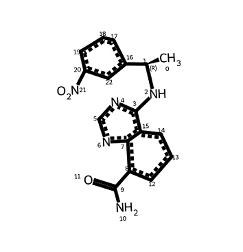 C[C@@H](Nc1ncnc2c(C(N)=O)cccc12)c1cccc([N+](=O)[O-])c1